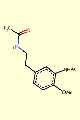 COc1ccc(CCNC(=O)C(F)(F)F)cc1NC(C)=O